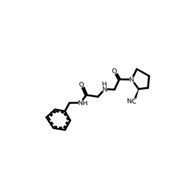 N#C[C@@H]1CCCN1C(=O)CNCC(=O)NCc1ccccc1